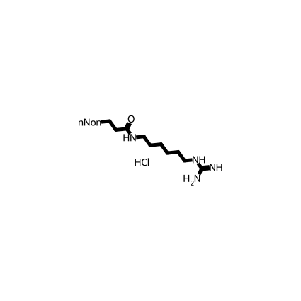 CCCCCCCCCCCC(=O)NCCCCCCNC(=N)N.Cl